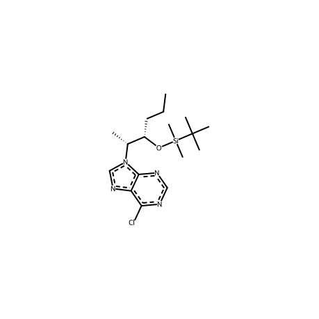 CCC[C@H](O[Si](C)(C)C(C)(C)C)[C@@H](C)n1cnc2c(Cl)ncnc21